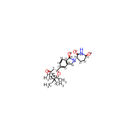 CC(C)(C)[Si](C)(C)O[C@H](CC=O)c1ccc2c(c1)CN([C@H]1CCC(=O)NC1=O)C2=O